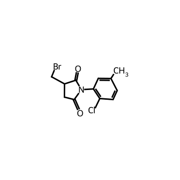 Cc1ccc(Cl)c(N2C(=O)CC(CBr)C2=O)c1